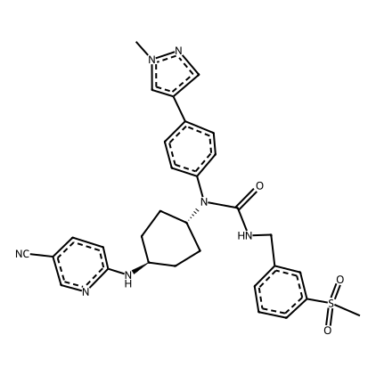 Cn1cc(-c2ccc(N(C(=O)NCc3cccc(S(C)(=O)=O)c3)[C@H]3CC[C@H](Nc4ccc(C#N)cn4)CC3)cc2)cn1